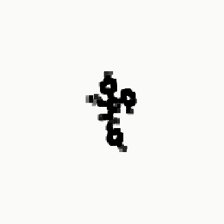 NCc1c(C(=O)NCc2ccc(Br)cc2)nn(-c2ccccc2Cl)c1-c1ccc(Cl)cc1